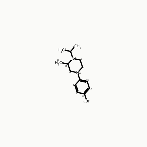 CC(C)N1CCN(c2ccc(Br)cc2)CC1C